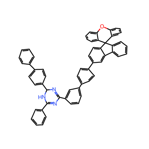 c1ccc(C2=NC(c3cccc(-c4ccc(-c5ccc6c(c5)-c5ccccc5C65c6ccccc6Oc6ccccc65)cc4)c3)=NC(c3ccc(-c4ccccc4)cc3)N2)cc1